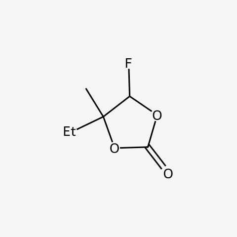 CCC1(C)OC(=O)OC1F